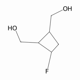 OCC1CC(F)C1CO